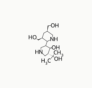 CC(C)(O)[C@@H]1CNCC(C2NC[C@H](CO)C[C@@H]2CO)[C@H]1O